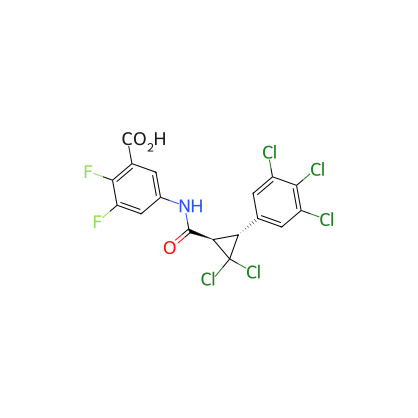 O=C(O)c1cc(NC(=O)[C@H]2[C@H](c3cc(Cl)c(Cl)c(Cl)c3)C2(Cl)Cl)cc(F)c1F